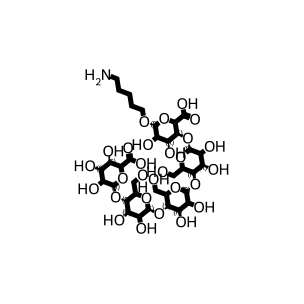 NCCCCCO[C@@H]1OC(C(=O)O)[C@@H](O[C@H]2OC(CO)[C@H](O[C@H]3OC(CO)[C@@H](O[C@@H]4OC(CO)[C@@H](O[C@@H]5OC(C(=O)O)[C@@H](O)[C@H](O)C5O)[C@H](O)C4O)[C@H](O)C3O)[C@H](O)C2O)[C@H](O)C1O